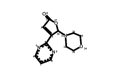 O=C1C=C(c2ncccn2)C(N2CCOCC2)O1